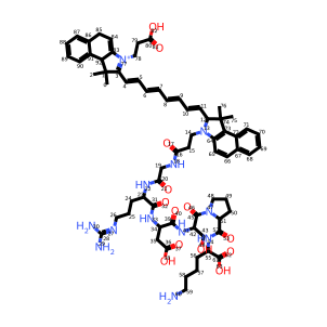 CC1(C)C(/C=C/C=C/C=C/C=C/C2N(CCC(=O)NCC(=O)NC(CCCN=C(N)N)C(=O)NC(CC(=O)O)C(=O)NC(CO)C(=O)N3CCCC3C(=O)NC(CCCCN)C(=O)O)c3ccc4ccccc4c3C2(C)C)=[N+](CCC(=O)O)C2=CCc3ccccc3C21